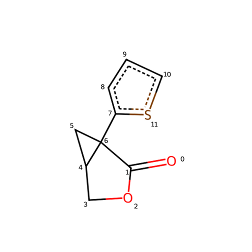 O=C1OCC2CC12c1cccs1